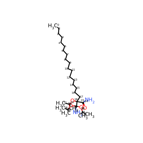 CCCCCCCCCCCCCCCCCCC(OC(C)C)(C(N)=O)C(N)(OC(C)C)OC(C)C